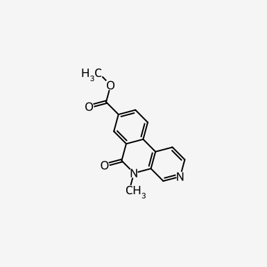 COC(=O)c1ccc2c(c1)c(=O)n(C)c1cnccc21